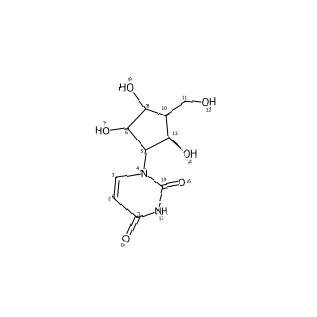 O=c1ccn(C2C(O)C(O)C(CO)C2O)c(=O)[nH]1